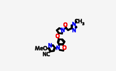 COc1ncc(N2CCOc3ccc(OC4CCN(C(=O)Cc5cn(C)cn5)C4)cc32)cc1C#N